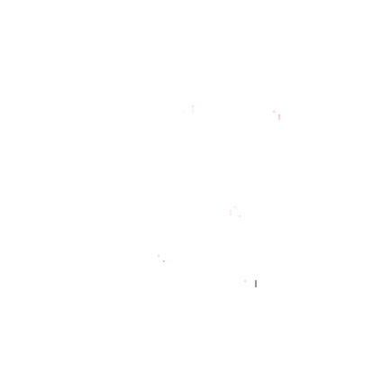 CCC(C)C(=O)OC1C(=O)OC(C)C1I